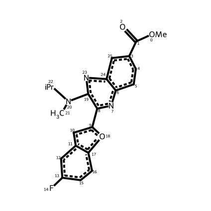 COC(=O)c1ccc2nc(-c3cc4cc(F)ccc4o3)c(N(C)C(C)C)nc2c1